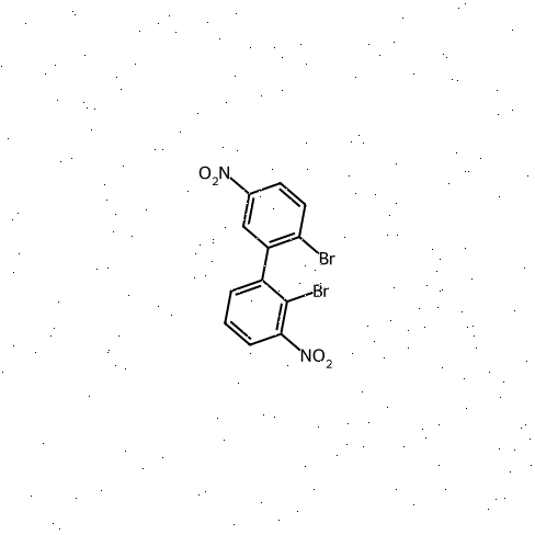 O=[N+]([O-])c1ccc(Br)c(-c2cccc([N+](=O)[O-])c2Br)c1